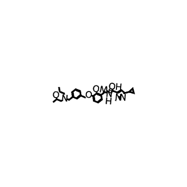 COc1c(CNC(O)c2cc(C3CC3)nn2C)cccc1OCc1cccc(CN2CC(C)OC(C)C2)c1